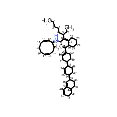 CCCCCC(CC)/C(CNC1/C=C\CCC/C=C\CC1)=C1\CCCCC1C(C)C1=CCC(C2C=CC(C3C=C4C=CCCC4CC3)CC2)CC1